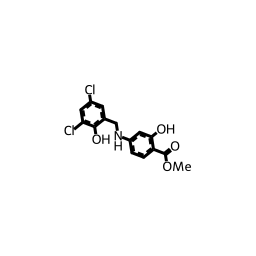 COC(=O)c1ccc(NCc2cc(Cl)cc(Cl)c2O)cc1O